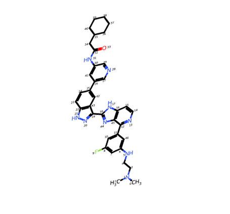 CN(C)CCNc1cc(F)cc(-c2nccc3[nH]c(-c4n[nH]c5ccc(-c6cncc(NC(=O)CC7CCCCC7)c6)cc45)nc23)c1